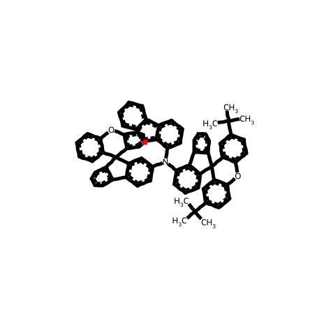 CC(C)(C)c1ccc2c(c1)C1(c3cc(C(C)(C)C)ccc3O2)c2ccccc2-c2c(N(c3ccc4c(c3)C3(c5ccccc5Oc5ccccc53)c3ccccc3-4)c3cccc4c3sc3ccccc34)cccc21